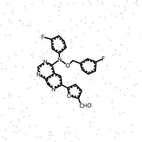 O=Cc1ccc(-c2cc3c(N(OCc4cccc(F)c4)c4cccc(F)c4)ncnc3cn2)o1